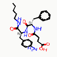 CCCCCNC(=O)[C@H](Cc1ccc(N)cc1)NC(=O)[C@H](Cc1ccccc1)NC(=O)CCC(=O)O